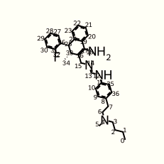 CCCCN(C)CCc1ccc(N/C=N/CC2=C(N)c3ccccc3[C@H](c3ccccc3F)[C@H]2C)cc1